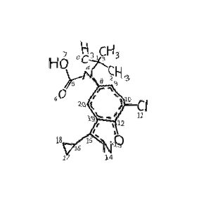 CC(C)(C)N(C(=O)O)c1cc(Cl)c2onc(C3CC3)c2c1